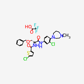 CN1CCCN(c2ccc(NC(=O)[C@@H](COCc3ccccc3)NC(=O)c3ccc(Cl)s3)cc2Cl)CC1.O=C(O)C(F)(F)F